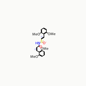 COc1cccc(OC)c1/C=C\C(=O)N[S+]([O-])/C=C/c1c(OC)cccc1OC